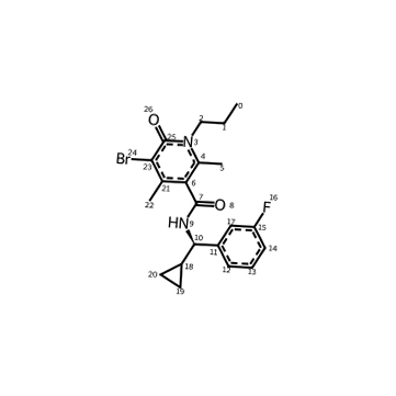 CCCn1c(C)c(C(=O)N[C@@H](c2cccc(F)c2)C2CC2)c(C)c(Br)c1=O